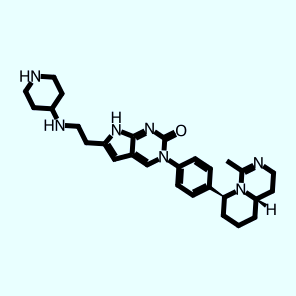 CC1=NCC[C@@H]2CCC[C@@H](c3ccc(-n4cc5cc(CCNC6CCNCC6)[nH]c5nc4=O)cc3)N12